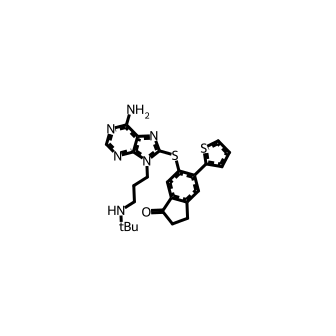 CC(C)(C)NCCCn1c(Sc2cc3c(cc2-c2cccs2)CCC3=O)nc2c(N)ncnc21